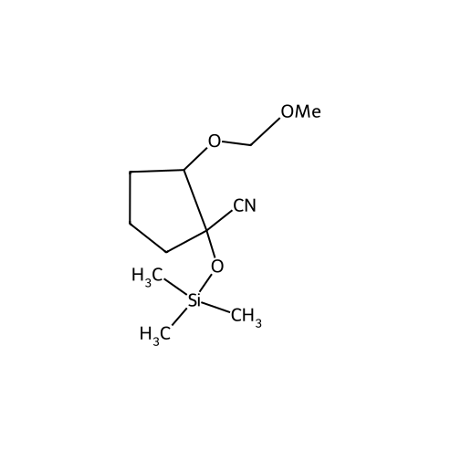 COCOC1CCCC1(C#N)O[Si](C)(C)C